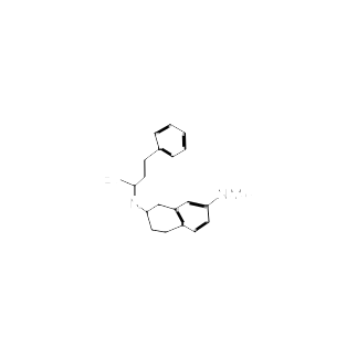 CCC(CCc1ccccc1)NC1CCc2ccc(NC)cc2C1